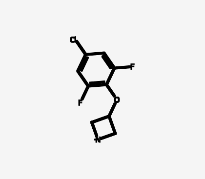 Fc1cc(Cl)cc(F)c1OC1C[N]C1